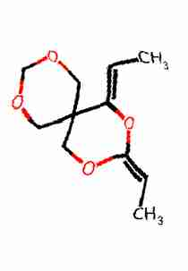 CC=C1OCC2(COCOC2)C(=CC)O1